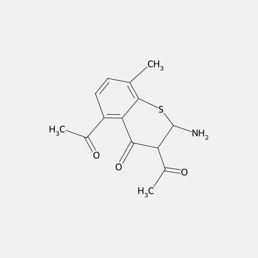 CC(=O)c1ccc(C)c2c1C(=O)C(C(C)=O)C(N)S2